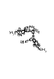 C/C=C1\C[C@H]2C=Nc3cc(OCc4cc(COc5cc6c(cc5OC)C(=O)N5C/C(=C/C)C[C@H]5C=N6)cc(OC)c4)c(OC)cc3C(=O)N2C1